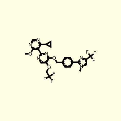 COc1ncnc(C2CC2)c1-c1ncc(OCC(F)(F)F)c(OCc2ccc(-c3nc(C(F)(F)F)cn3C)cc2)n1